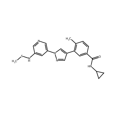 CSNc1cncc(-n2cc(-c3cc(C(=O)NC4CC4)ccc3C)cn2)c1